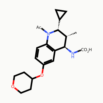 CC(=O)N1c2ccc(OC3CCOCC3)cc2[C@H](NC(=O)O)[C@@H](C)[C@H]1C1CC1